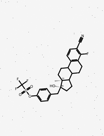 C[C@]12CCC3c4ccc(C#N)c(F)c4CCC3C1CC[C@@]2(O)Cc1ccc(OS(=O)(=O)C(F)(F)F)cc1